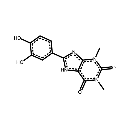 Cn1c(=O)c2[nH]c(-c3ccc(O)c(O)c3)nc2n(C)c1=O